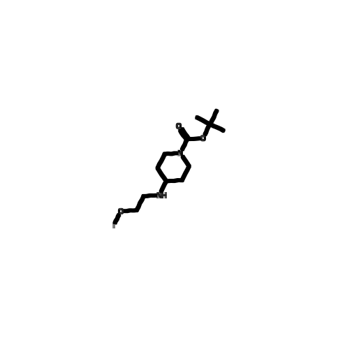 CC(C)(C)OC(=O)N1CCC(NCCOI)CC1